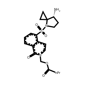 CCCC(=O)OCn1ccc2c(S(=O)(=O)N3CC[C@@H](N)C34CC4)cccc2c1=O